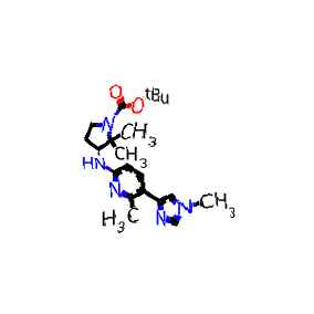 Cc1nc(N[C@@H]2CCN(C(=O)OC(C)(C)C)C2(C)C)ccc1-c1cn(C)cn1